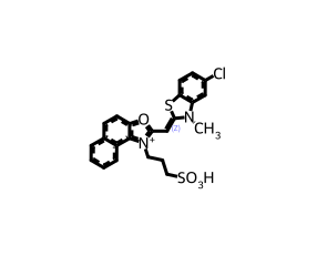 CN1/C(=C/c2oc3ccc4ccccc4c3[n+]2CCCS(=O)(=O)O)Sc2ccc(Cl)cc21